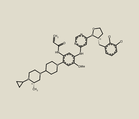 C=CC(=O)Nc1cc(Nc2cc(N3OCC[C@@H]3Cc3cccc(Cl)c3Cl)ncn2)c(OC)cc1N1CCC(N2CCN(C3CC3)[C@@H](C)C2)CC1